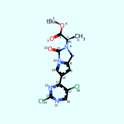 C[C@H](C(=O)OC(C)(C)C)N1Cc2cc(-c3nc(Cl)ncc3Cl)cn2C1=O